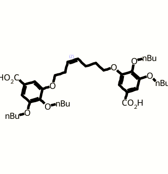 CCCCOc1cc(C(=O)O)cc(OCC/C=C\CCCOc2cc(C(=O)O)cc(OCCCC)c2OCCCC)c1OCCCC